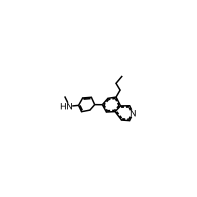 CCCc1cc(C2C=CC(NC)=CC2)cc2ccncc12